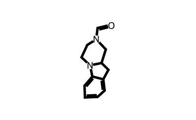 O=CN1CCN2c3ccccc3CC2C1